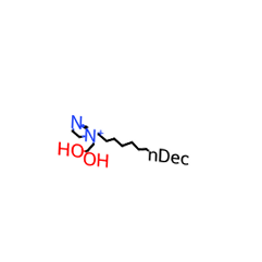 CCCCCCCCCCCCCCCCC[N+]1(CC(O)O)C=NCC1